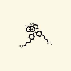 CCCCc1ccc([Si](C2=C(C(C)(C)C)C=CC2)(c2ccccc2)c2ccc(CCCC)cc2)cc1